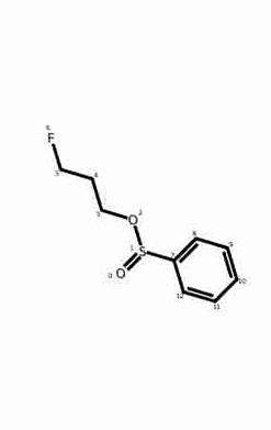 O=S(OCCCF)c1ccccc1